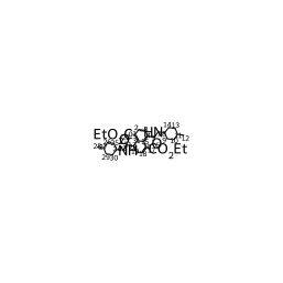 CCOC(=O)c1ccc(C(=O)NC2CCC(C)CC2)c2c(C(=O)OCC)ccc(C(=O)NC3CCC(C)CC3)c12